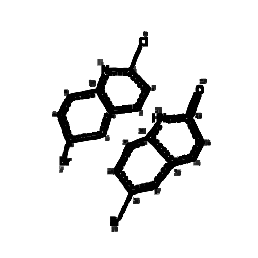 Clc1ccc2cc(Br)ccc2n1.O=c1ccc2cc(Br)ccc2[nH]1